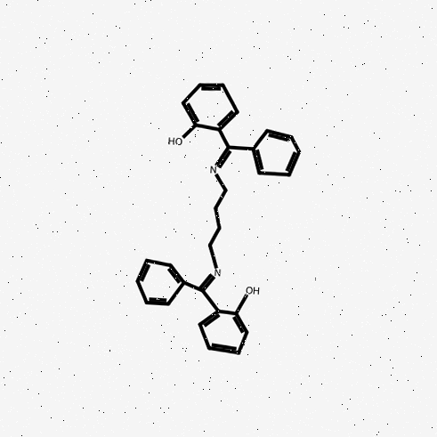 Oc1ccccc1/C(=N/CCCC/N=C(\c1ccccc1)c1ccccc1O)c1ccccc1